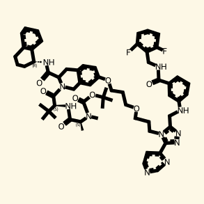 C[C@@H](C(=O)N[C@H](C(=O)N1Cc2cc(OCCCOCCCn3c(CNc4cccc(C(=O)NCc5c(F)cccc5F)c4)nnc3-c3ccncn3)ccc2CC1C(=O)N[C@@H]1CCCc2ccccc21)C(C)(C)C)N(C)C(=O)OC(C)(C)C